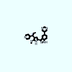 C=Nc1[nH]c(-c2n[nH]c3ccc(-c4cncnc4)cc23)cc1/C(=C\C)c1ccncc1